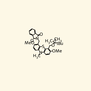 COc1ccc2c(c1CO[Si](C)(C)C(C)(C)C)Sc1c(ccc(OC)c1CN1C(=O)c3ccccc3C1=O)N2C